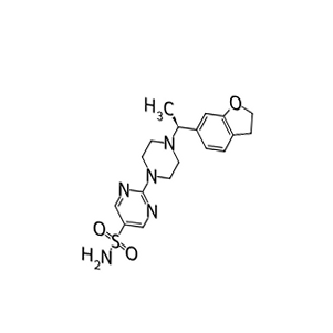 C[C@@H](c1ccc2c(c1)OCC2)N1CCN(c2ncc(S(N)(=O)=O)cn2)CC1